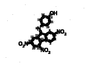 O=[N+]([O-])c1ccc2c(c1)C(=Nc1ccc(O)cc1)c1cc([N+](=O)[O-])cc([N+](=O)[O-])c1-2